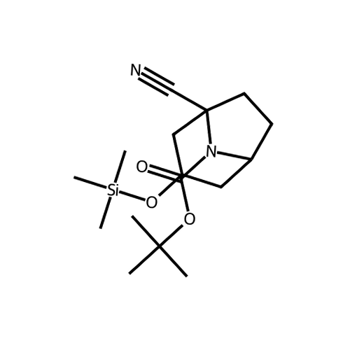 CC(C)(C)OC(=O)N1C2CCC1(C#N)CC(O[Si](C)(C)C)C2